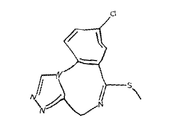 CSC1=NCc2nncn2-c2ccc(Cl)cc21